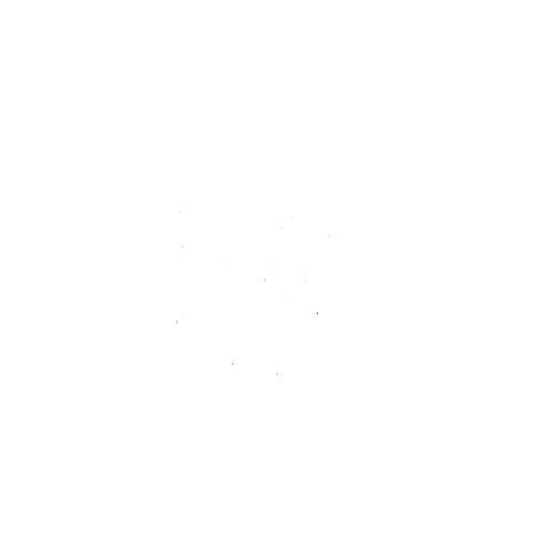 O=S(=O)(c1ccccc1)C12CCCCC1COc1ccccc12